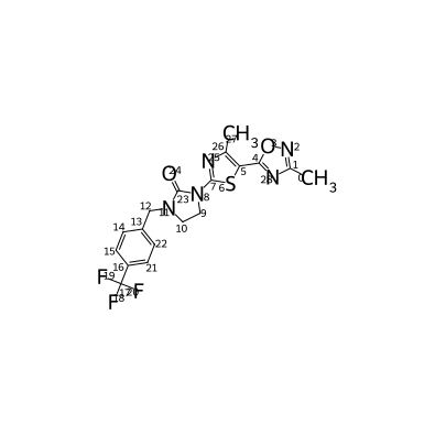 Cc1noc(-c2sc(N3CCN(Cc4ccc(C(F)(F)F)cc4)C3=O)nc2C)n1